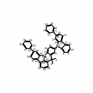 CC1(C)c2cc(-n3c4ccccc4c4ccc(-c5ccccc5)cc43)ccc2-n2c3cc(-c4ccccc4)ccc3c3cccc1c32